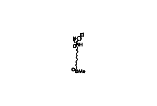 COC(=O)CCCCCCCCCCCC(=O)Nc1ccnc2cc(Cl)ccc12